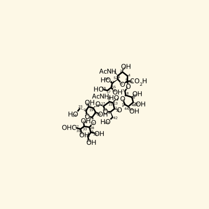 CC(=O)N[C@@H]1[C@@H](O)CC(OCC2O[C@@H](O[C@H]3[C@H](O)[C@@H](NC(C)=O)[C@H](O[C@H]4[C@@H](O)[C@@H](CO)O[C@@H](OC(C(O)CO)C(O)C(O)C=O)[C@@H]4O)O[C@@H]3CO)[C@H](O)[C@@H](O)[C@H]2O)(C(=O)O)O[C@H]1C(O)C(O)CO